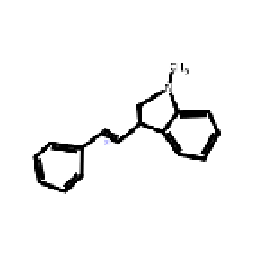 CN1CC(/C=C/c2ccccc2)c2ccccc21